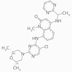 CC(Nc1cc(=O)n(C)c2c(Nc3nc(N4C[C@@H](C)O[C@@H](C)C4)ncc3Cl)cccc12)c1ncccn1